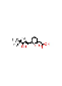 CC(C)(C)C(O)C=CC1CCCC(O)(CC(=O)O)C1